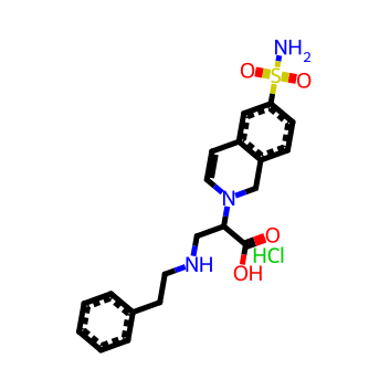 Cl.NS(=O)(=O)c1ccc2c(c1)C=CN(C(CNCCc1ccccc1)C(=O)O)C2